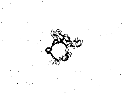 CO[C@@H](C)c1ncc(N2CCN3CCOC[C@@H]3C2)cc1-c1c2c3cc(ccc3n1CC(F)(F)F)-c1cccc(c1)C[C@H](N)C(=O)N1CCC[C@H](N1)C(=O)OCC(C)(C)C2